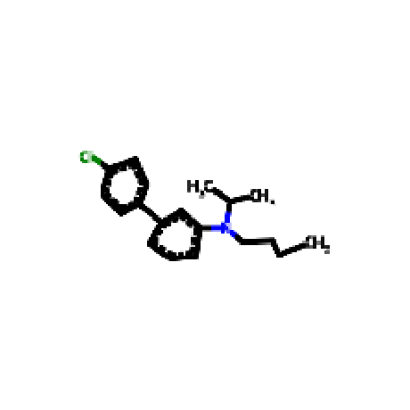 CCCCN(c1cccc(-c2ccc(Cl)cc2)c1)C(C)C